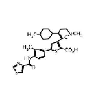 Cc1cc(-c2cc(C3=C(C4CCC(C)CC4)CCN(C)C3)c(C(=O)O)s2)ccc1NC(=O)c1cscn1